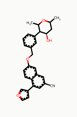 CC1C[C@@H](O)C(c2cccc(COc3ccc4c(-c5ccoc5)cc(C#N)cc4c3)c2)C(C)O1